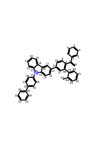 C=C(c1ccccc1)c1ccc(-c2ccc3c(c2)c2ccccc2n3-c2ccc(-c3ccccc3)cc2)cc1-c1ccccc1C